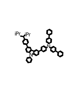 CC(C)CC(c1ccc(-c2ccc3c(c2)c2cc(-c4ccc(N(c5ccc(-c6ccccc6)cc5)c5ccc(-c6ccccc6)cc5)cc4)ccc2n3-c2ccccc2)cc1)C(C)C